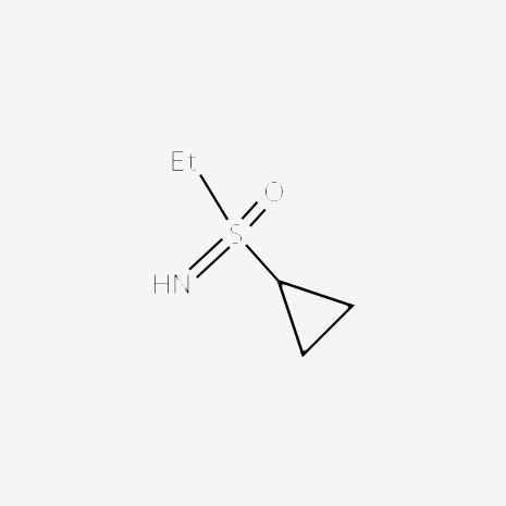 CCS(=N)(=O)C1CC1